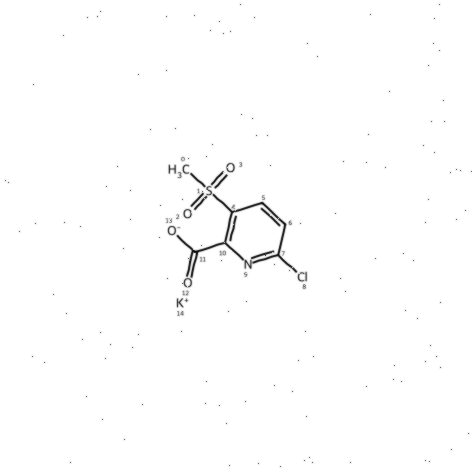 CS(=O)(=O)c1ccc(Cl)nc1C(=O)[O-].[K+]